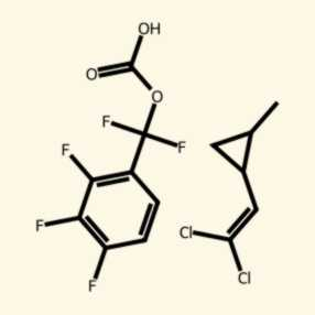 CC1CC1C=C(Cl)Cl.O=C(O)OC(F)(F)c1ccc(F)c(F)c1F